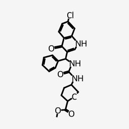 COC(=O)C1CCC(NC(=O)NC(c2ccccc2)c2c[nH]c3cc(Cl)ccc3c2=O)CC1